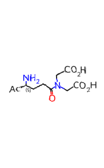 CC(=O)[C@@H](N)CCC(=O)N(CC(=O)O)CC(=O)O